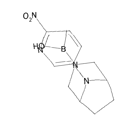 CB(O)N1CC2CCC(C1)N2c1ccc([N+](=O)[O-])nc1